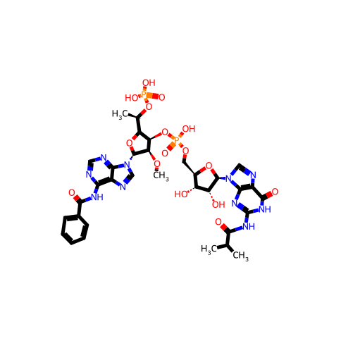 CO[C@@H]1[C@H](OP(=O)(O)OC[C@H]2O[C@@H](n3cnc4c(=O)[nH]c(NC(=O)C(C)C)nc43)[C@H](O)[C@@H]2O)C([C@@H](C)OP(=O)(O)O)O[C@H]1n1cnc2c(NC(=O)c3ccccc3)ncnc21